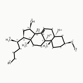 CCO[C@H]1CC[C@@]2(C)[C@@H](CC=C3[C@@H]2CC[C@]2(C)[C@@H]([C@H](C)CCCC(C)C)C[C@@H](O)[C@@]32CC)C1